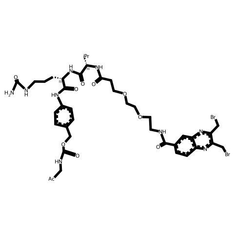 CC(=O)CNC(=O)OCc1ccc(NC(=O)[C@H](CCCNC(N)=O)NC(=O)[C@@H](NC(=O)CCOCCOCCNC(=O)c2ccc3nc(CBr)c(CBr)nc3c2)C(C)C)cc1